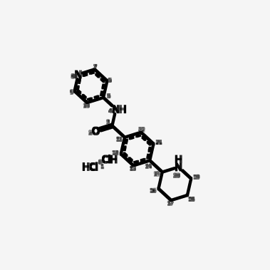 Cl.Cl.O=C(Nc1ccncc1)c1ccc(C2CCCCN2)cc1